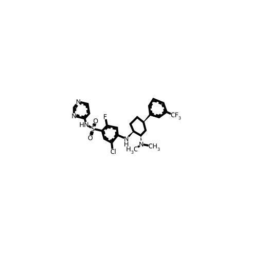 CN(C)[C@H]1C[C@H](c2cccc(C(F)(F)F)c2)CC[C@@H]1Nc1cc(F)c(S(=O)(=O)Nc2ccncn2)cc1Cl